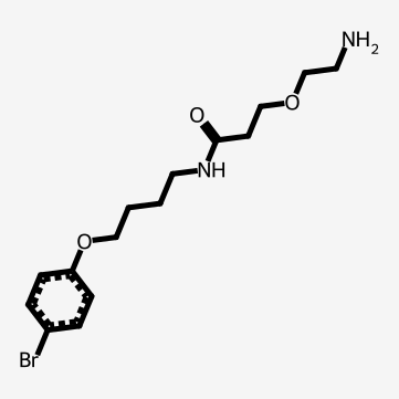 NCCOCCC(=O)NCCCCOc1ccc(Br)cc1